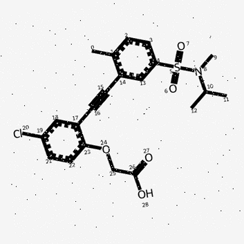 Cc1ccc(S(=O)(=O)N(C)C(C)C)cc1C#Cc1cc(Cl)ccc1OCC(=O)O